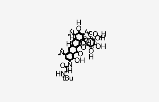 CC(=O)C1=C(O)[C@H](N(C)C)[C@@H]2C[C@@H]3Cc4c(N(C)C)cc(NC(=O)CNC(C)(C)C)c(O)c4C(=O)C3=C(O[C@@H]3O[C@H](C(=O)O)[C@@H](O)[C@H](O)[C@H]3O)[C@]2(O)C1=O